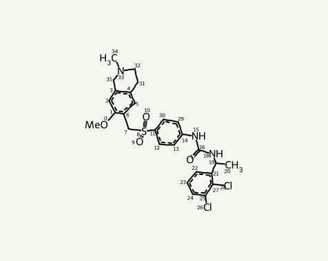 COc1cc2c(cc1CS(=O)(=O)c1ccc(NC(=O)NC(C)c3cccc(Cl)c3Cl)cc1)CCN(C)C2